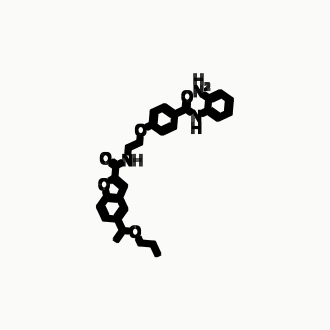 CCCOC(C)c1ccc2oc(C(=O)NCCOc3ccc(C(=O)Nc4ccccc4N)cc3)cc2c1